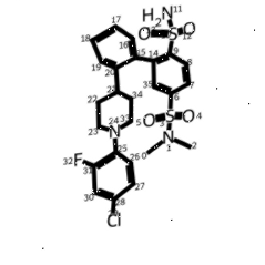 CN(C)S(=O)(=O)c1ccc(S(N)(=O)=O)c(-c2ccccc2C2CCN(c3ccc(Cl)cc3F)CC2)c1